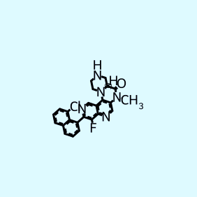 CN1C(=O)[C@@H]2CNCCN2c2c1cnc1c(F)c(-c3cccc4cccc(Cl)c34)ncc21